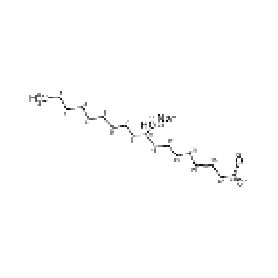 CCCCCCCCCC(O)CCCCCCCC(=O)[O-].[Na+]